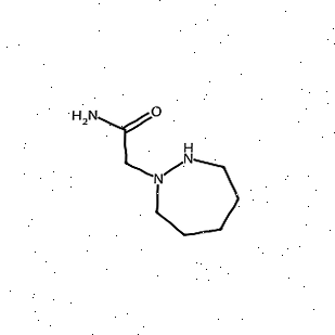 NC(=O)CN1CCCCCN1